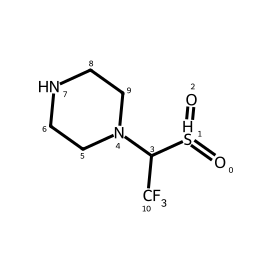 O=[SH](=O)C(N1CCNCC1)C(F)(F)F